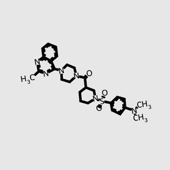 Cc1nc(N2CCN(C(=O)C3CCCN(S(=O)(=O)c4ccc(N(C)C)cc4)C3)CC2)c2ccccc2n1